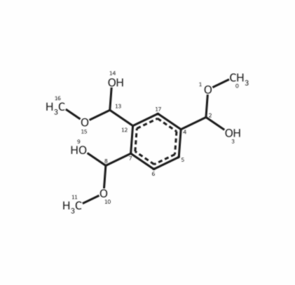 COC(O)c1ccc(C(O)OC)c(C(O)OC)c1